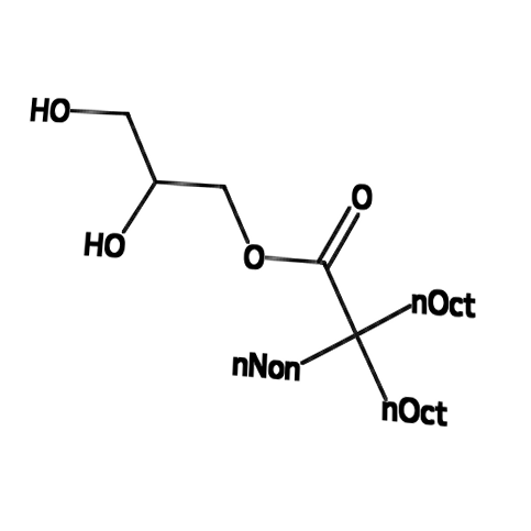 CCCCCCCCCC(CCCCCCCC)(CCCCCCCC)C(=O)OCC(O)CO